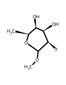 COC1O[C@@H](C)[C@@H](O)[C@@H](O)[C@H]1F